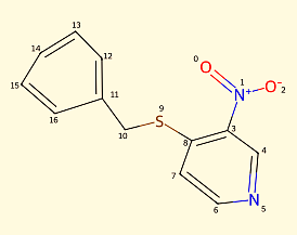 O=[N+]([O-])c1cnccc1SCc1ccccc1